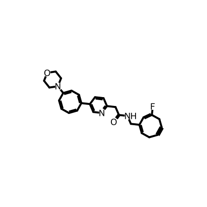 O=C(Cc1ccc(/C2=C/C=C(N3CCOCC3)\C=C/C=C2)cn1)NCC1=C/CC#CC/C(F)=C\1